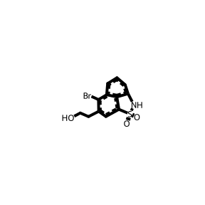 O=S1(=O)Nc2cccc3c(Br)c(CCO)cc1c23